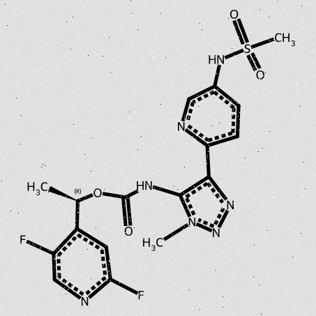 C[C@@H](OC(=O)Nc1c(-c2ccc(NS(C)(=O)=O)cn2)nnn1C)c1cc(F)ncc1F